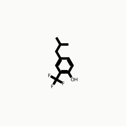 CC(C)Cc1ccc(O)c(C(F)(F)F)c1